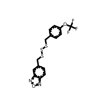 FC(F)(F)Oc1ccc(CSSSCc2ccc3nonc3c2)cc1